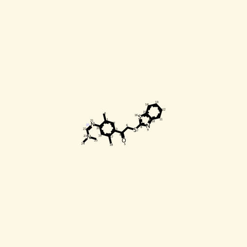 Cc1cc(C(=O)CSc2nc3ccccc3s2)c(C)cc1/N=C\N(C)C